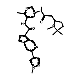 Cc1ncc(NC(=O)CC2CCC(C)(C)N2C)cc1NC(=O)c1cnn2cc(-c3cnn(C)c3)ncc12